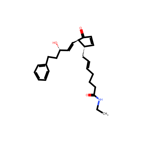 CCNC(=O)CCCC=CC[C@H]1C=CC(=O)[C@@H]1C=C[C@@H](O)CCc1ccccc1